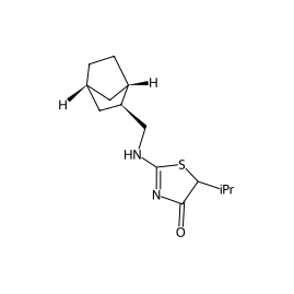 CC(C)C1SC(NC[C@H]2C[C@@H]3CC[C@H]2C3)=NC1=O